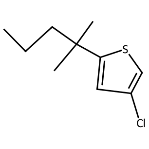 CCCC(C)(C)c1cc(Cl)cs1